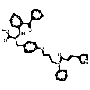 COC(=O)[C@H](Cc1ccc(OCCCN(C(=O)C=Cc2ccsc2)c2ccccc2)cc1)Nc1ccccc1C(=O)c1ccccc1